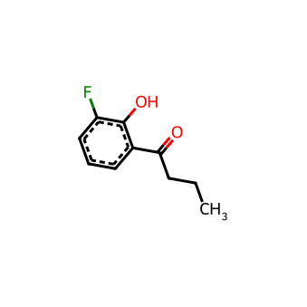 CCCC(=O)c1cccc(F)c1O